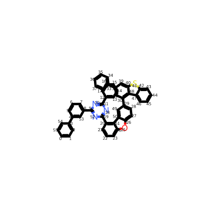 c1ccc(-c2cccc(-c3nc(-c4ccccc4)nc(-c4cccc5oc6ccc(-c7cc(-c8ccccc8)cc8sc9ccccc9c78)cc6c45)n3)c2)cc1